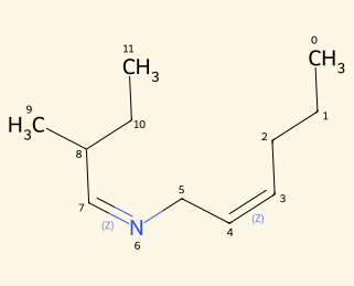 CCC/C=C\C/N=C\C(C)CC